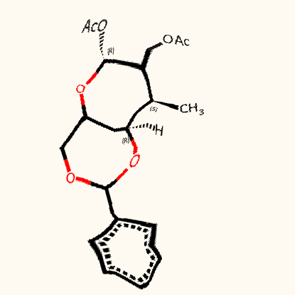 CC(=O)OC1[C@@H](OC(C)=O)OC2COC(c3ccccc3)O[C@@H]2[C@@H]1C